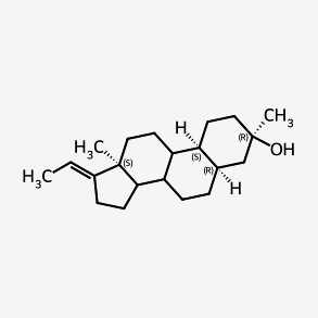 CC=C1CCC2C3CC[C@@H]4C[C@](C)(O)CC[C@@H]4C3CC[C@]12C